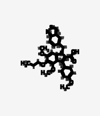 CCCOc1c(OC)cc2c(c1OC)c(-c1ccc(OC)cc1)c(C(=O)O)n2Cc1ccc2nsnc2c1